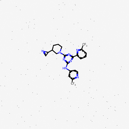 FC(F)(F)c1cc(Nc2nc(-c3cccc(C(F)(F)F)n3)nc(N3CCCC(C4C=N4)C3)n2)ccn1